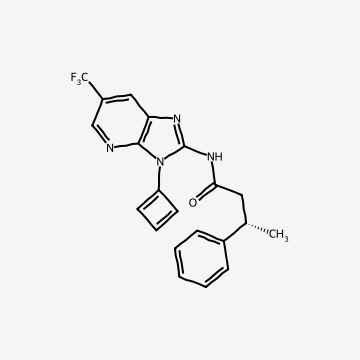 C[C@@H](CC(=O)Nc1nc2cc(C(F)(F)F)cnc2n1C1=CC=C1)c1ccccc1